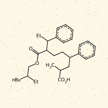 CCCCC(CC)COC(=O)C(CCC(CC(C)C(=O)O)c1ccccc1)C(CC)c1ccccc1